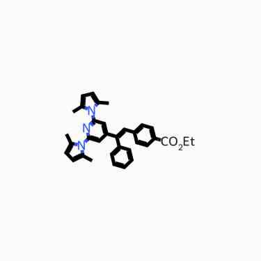 CCOC(=O)c1ccc(C=C(c2ccccc2)c2cc(-n3c(C)ccc3C)nc(-n3c(C)ccc3C)c2)cc1